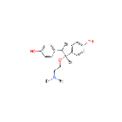 CCC(c1ccc(O)cc1)C(CC)(OCCN(CC)CC)c1ccc(O)cc1